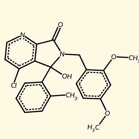 COc1ccc(CN2C(=O)c3nccc(Cl)c3C2(O)c2ccccc2C)c(OC)c1